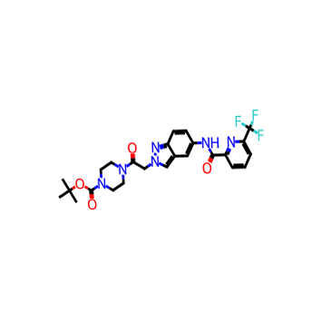 CC(C)(C)OC(=O)N1CCN(C(=O)Cn2cc3cc(NC(=O)c4cccc(C(F)(F)F)n4)ccc3n2)CC1